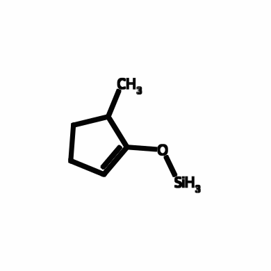 CC1CCC=C1O[SiH3]